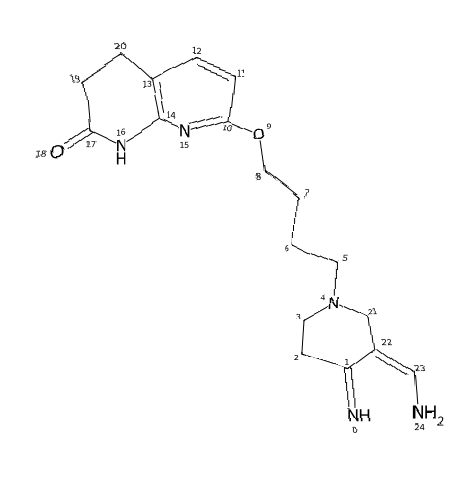 N=C1CCN(CCCCOc2ccc3c(n2)NC(=O)CC3)C/C1=C/N